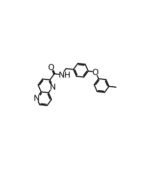 Cc1cccc(Oc2ccc(CNC(=O)c3ccc4ncccc4n3)cc2)c1